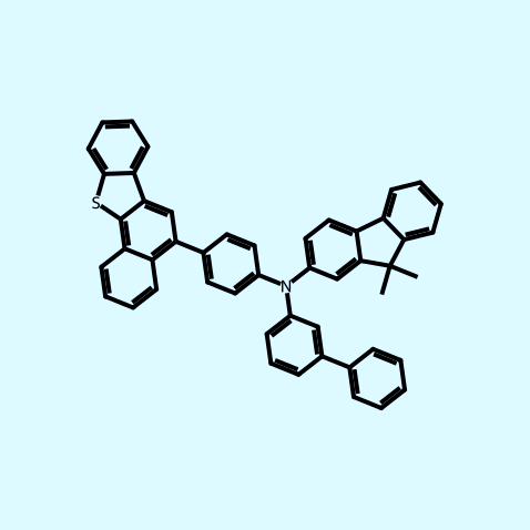 CC1(C)c2ccccc2-c2ccc(N(c3ccc(-c4cc5c6ccccc6sc5c5ccccc45)cc3)c3cccc(-c4ccccc4)c3)cc21